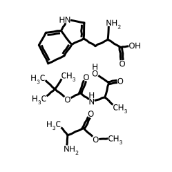 CC(NC(=O)OC(C)(C)C)C(=O)O.COC(=O)C(C)N.NC(Cc1c[nH]c2ccccc12)C(=O)O